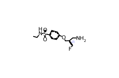 CCNS(=O)(=O)c1ccc(OC/C(=C\F)CN)cc1